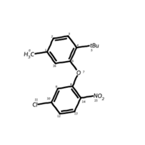 Cc1ccc(C(C)(C)C)c(Oc2cc(Cl)ccc2[N+](=O)[O-])c1